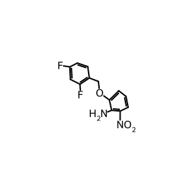 Nc1c(OCc2ccc(F)cc2F)cccc1[N+](=O)[O-]